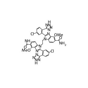 COc1c(C(N)=O)ccc2c1nc(-c1cc(Cl)ccc1-c1nn[nH]n1)n2CCn1c(-c2cc(Cl)ccc2-c2nn[nH]n2)nc2c(OC)c(C(N)=O)ccc21